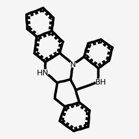 B1c2ccccc2N2c3cc4ccccc4cc3NC3Cc4ccccc4C1C32